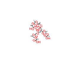 CC(COC(C)C(=O)O)OC(=O)COC(=O)CC(O)(CC(=O)OC(C)C(=O)OC(C)C(=O)OC(C)C(=O)O)C(=O)OC(C)C(=O)OC(C)C(=O)O